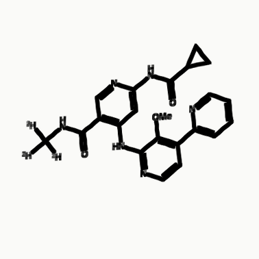 [2H]C([2H])([2H])NC(=O)c1cnc(NC(=O)C2CC2)cc1Nc1nccc(-c2ccccn2)c1OC